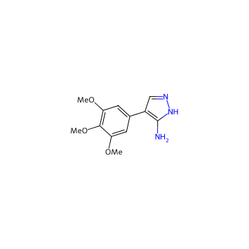 COc1cc(-c2cn[nH]c2N)cc(OC)c1OC